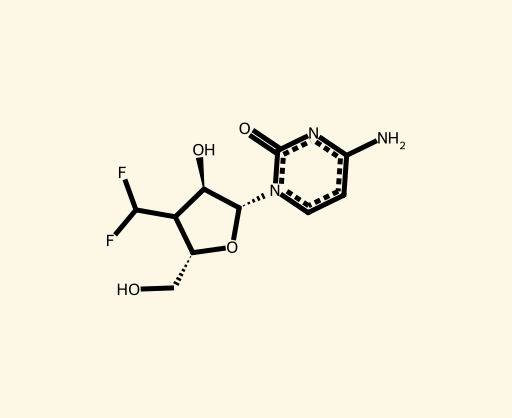 Nc1ccn([C@@H]2O[C@H](CO)C(C(F)F)[C@H]2O)c(=O)n1